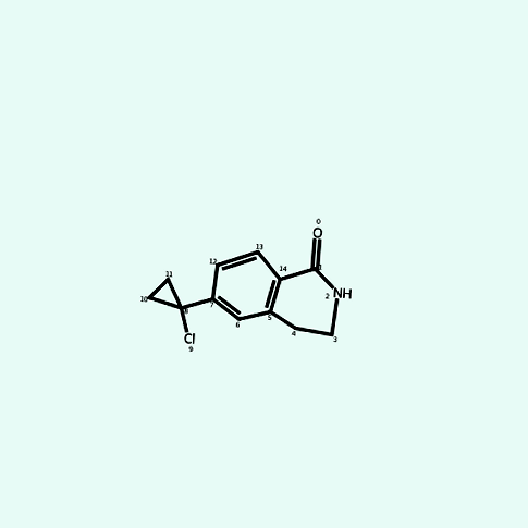 O=C1NCCc2cc(C3(Cl)CC3)ccc21